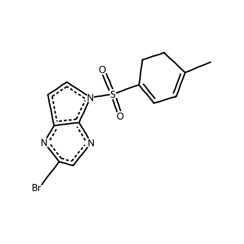 CC1=CC=C(S(=O)(=O)n2ccc3nc(Br)cnc32)CC1